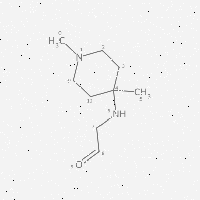 CN1CCC(C)(NCC=O)CC1